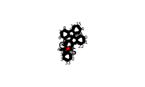 CC1(C)OB(c2cccc3c2C2(c4ccccc4-3)c3ccccc3-c3c2ccc2c3sc3ccccc32)OC1(C)C